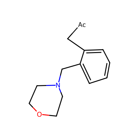 CC(=O)Cc1ccccc1CN1CCOCC1